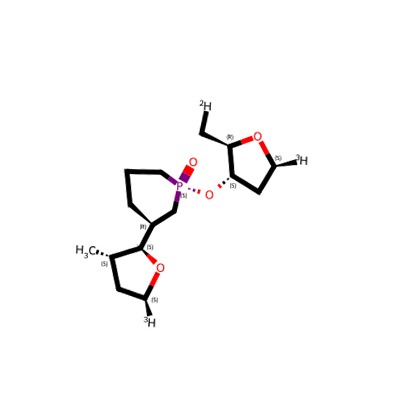 [2H]C[C@H]1O[C@@H]([3H])C[C@@H]1O[P@@]1(=O)CCC[C@H]([C@H]2O[C@@H]([3H])C[C@@H]2C)C1